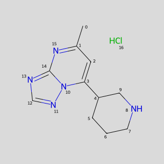 Cc1cc(C2CCCNC2)n2ncnc2n1.Cl